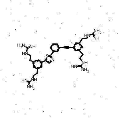 N=C(N)NCCc1cc(C#Cc2cccc(-c3ncc(-c4cc(CCNC(=N)N)cc(CCNC(=N)N)c4)s3)c2)cc(CCNC(=N)N)c1